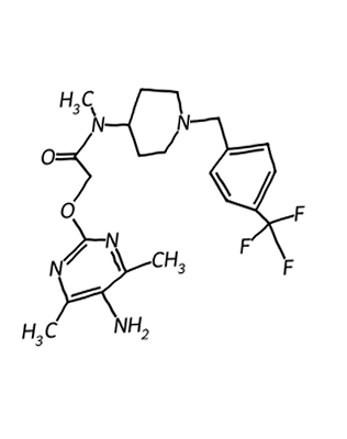 Cc1nc(OCC(=O)N(C)C2CCN(Cc3ccc(C(F)(F)F)cc3)CC2)nc(C)c1N